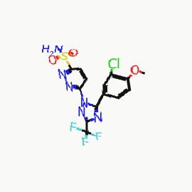 COc1ccc(-c2nc(C(F)(F)F)nn2-c2ccc(S(N)(=O)=O)nn2)cc1Cl